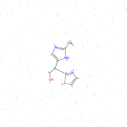 Cc1ncc(C(CO)c2nccs2)[nH]1